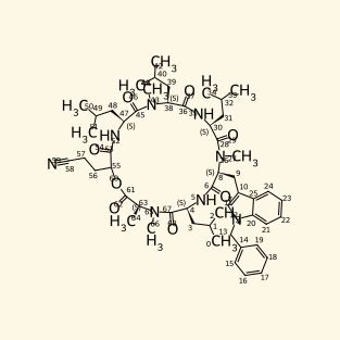 CC(C)C[C@@H]1NC(=O)[C@H](Cc2cn(Cc3ccccc3)c3ccccc23)N(C)C(=O)[C@H](CC(C)C)NC(=O)[C@H](CC(C)C)N(C)C(=O)[C@H](CC(C)C)NC(=O)C(CCC#N)OC(=O)[C@H](C)N(C)C1=O